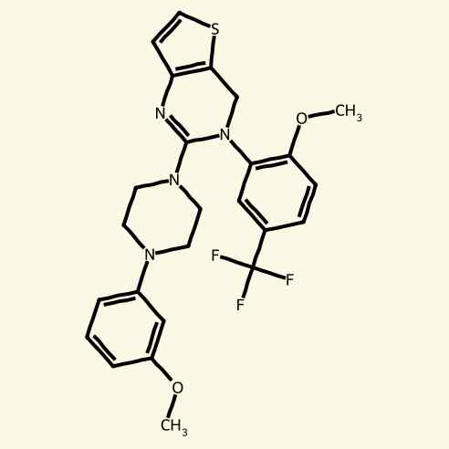 COc1cccc(N2CCN(C3=Nc4ccsc4CN3c3cc(C(F)(F)F)ccc3OC)CC2)c1